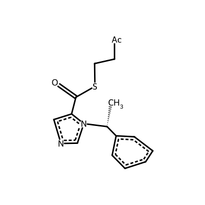 CC(=O)CCSC(=O)c1cncn1[C@H](C)c1ccccc1